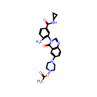 CC(=O)ON1CCN(c2ccc3ncn(-c4cc(C(=O)NC5CC5)ccc4C)c(=O)c3c2)CC1